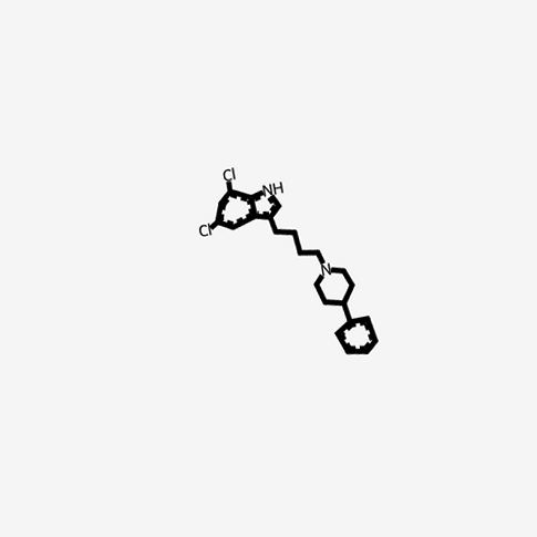 Clc1cc(Cl)c2[nH]cc(CCCCN3CCC(c4ccccc4)CC3)c2c1